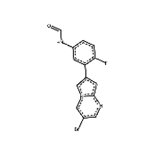 O=CNc1ccc(F)c(-c2cn3cc(Br)cnc3n2)c1